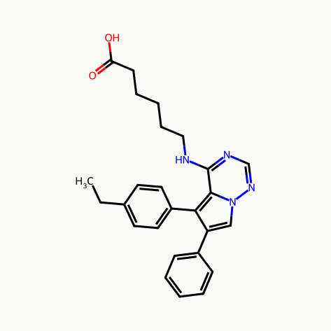 CCc1ccc(-c2c(-c3ccccc3)cn3ncnc(NCCCCCC(=O)O)c23)cc1